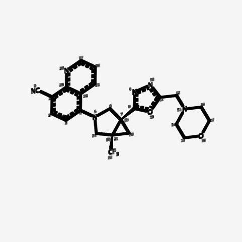 N#Cc1ccc(N2C[C@]3(c4nnc(CN5CCOCC5)o4)C[C@]3(C(F)(F)F)C2)c2cccnc12